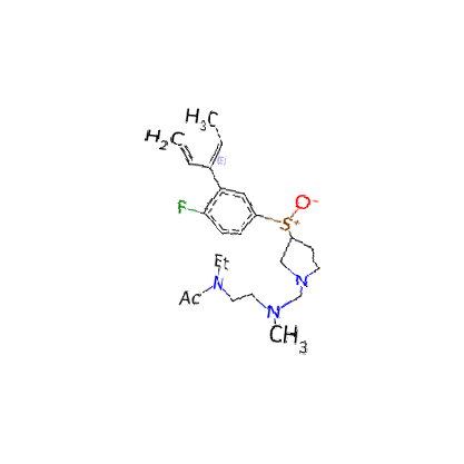 C=C/C(=C\C)c1cc([S+]([O-])C2CCN(CN(C)CCN(CC)C(C)=O)C2)ccc1F